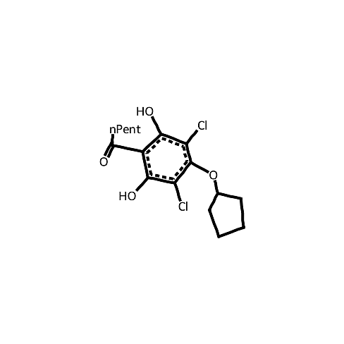 CCCCCC(=O)c1c(O)c(Cl)c(OC2CCCC2)c(Cl)c1O